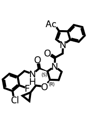 CC(=O)c1cn(CC(=O)N2CC[C@@H](OCC3CC3)[C@H]2C(=O)NCc2cccc(Cl)c2F)c2ccccc12